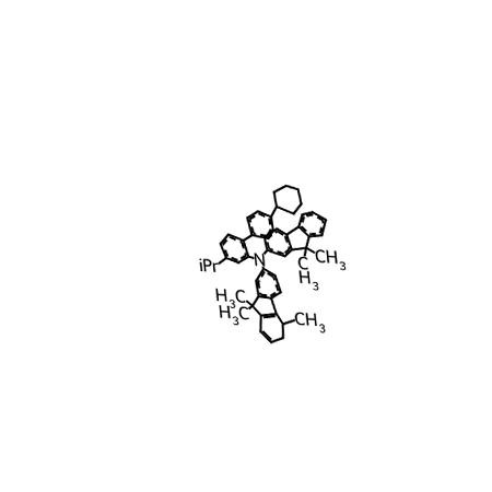 CC1CC=CC2=C1c1ccc(N(c3ccc4c(c3)C(C)(C)c3ccccc3-4)c3cc(C(C)C)ccc3-c3ccc(C4CCCCC4)cc3)cc1C2(C)C